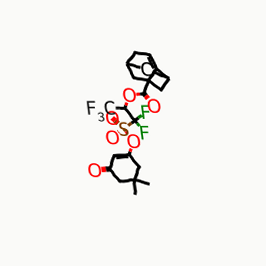 CC1(C)CC(=O)C=C(OS(=O)(=O)C(F)(F)C(OC(=O)C23CC4CC=C2C(C4)C3)C(F)(F)F)C1